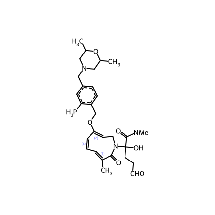 CNC(=O)C(O)(CCC=O)N1C/C=C(OCc2ccc(CN3CC(C)OC(C)C3)cc2P)/C=C\C=C(/C)C1=O